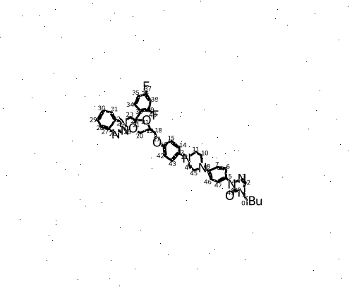 CCC(C)n1cnn(-c2ccc(N3CCN(c4ccc(OCC5COC(Cn6nnc7ccccc76)(c6ccc(F)cc6F)O5)cc4)CC3)cc2)c1=O